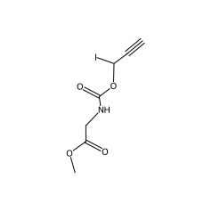 C#CC(I)OC(=O)NCC(=O)OC